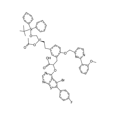 COc1ccccc1-c1nccc(COc2ccc(CC[C@H](CO[Si](c3ccccc3)(c3ccccc3)C(C)(C)C)OC(C)=O)cc2CC(Oc2ncnc3sc(-c4ccc(F)cc4)c(Br)c23)C(=O)O)n1